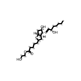 CCCCC[C@H](O)/C=C/[C@@H]1[C@H]2CC(CCCCC(=O)OCCO)S[C@@H]2C[C@H]1O